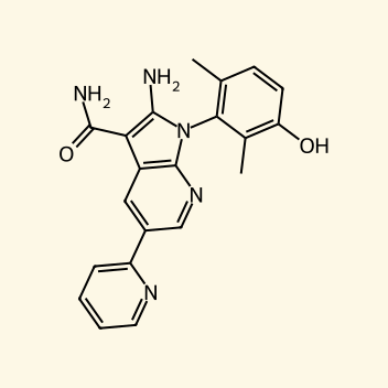 Cc1ccc(O)c(C)c1-n1c(N)c(C(N)=O)c2cc(-c3ccccn3)cnc21